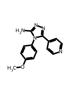 COc1ccc(-n2c(N)nnc2-c2ccncc2)cc1